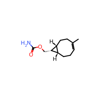 C/C1=C/CC[C@H]2[C@@H](CC1)[C@H]2COC(N)=O